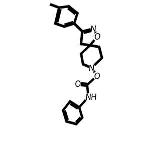 Cc1ccc(C2=NOC3(CCN(OC(=O)Nc4ccccc4)CC3)C2)cc1